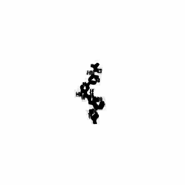 Cc1cn(-c2ccnc3[nH]c(-c4n[nH]c5cnc(-c6cncc(NC(=O)C(C)C)c6)cc45)cc23)cn1